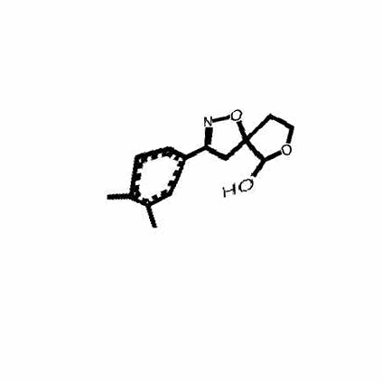 Cc1ccc(C2=NOC3(CCOC3O)C2)cc1C